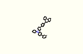 CC1C=CC=C(c2ccc3c(c2)c2cc(-c4ccc(-c5cc6ccccc6c6ccccc56)cc4)ccc2n3-c2ccccc2)C1